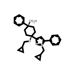 O=C(O)[C@]1(c2ccccc2)CC[C@@](OCC2CC2)(c2cc(-c3ccccc3)n(CC3CC3)n2)CC1